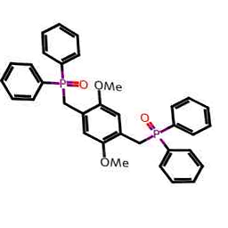 COc1cc(CP(=O)(c2ccccc2)c2ccccc2)c(OC)cc1CP(=O)(c1ccccc1)c1ccccc1